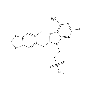 Cc1nc(F)nc2c1nc(Cc1cc3c(cc1I)OCO3)n2CCS(N)(=O)=O